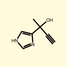 C#CC(C)(O)c1c[nH]cn1